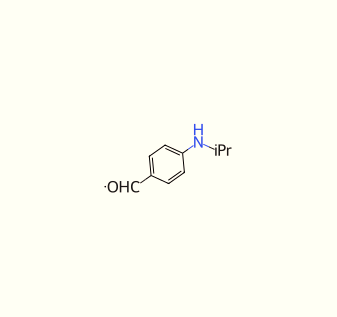 CC(C)Nc1ccc([C]=O)cc1